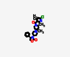 Cc1cc(Cl)nc(C)c1C(=O)N1CCC(C)(N2CCC(N3C(=O)OC[C@H]3c3ccccc3)CC2)CC1